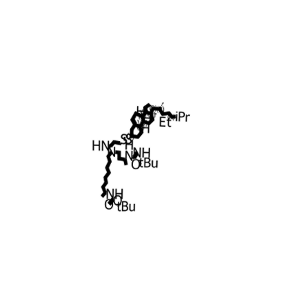 CC[C@H](CC[C@@H](C)[C@H]1CC[C@H]2[C@@H]3CC=C4C[C@@H](SSCCC(=N)N(CCCCCCCC(C)NC(=O)OC(C)(C)C)CCC(C)NC(=N)OC(C)(C)C)CC[C@]4(C)[C@H]3CC[C@]12C)C(C)C